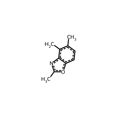 [CH2]c1c(C)ccc2oc(C)nc12